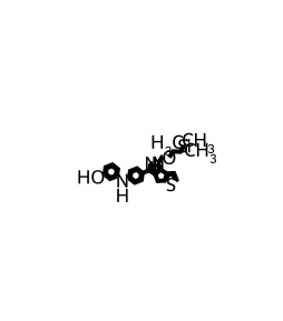 C[Si](C)(C)CCOCn1nc(-c2ccc(Nc3cccc(O)c3)cc2)c2c1-c1ccsc1C2